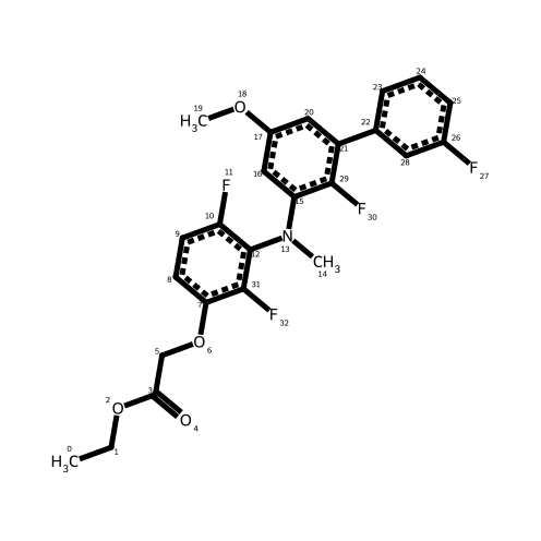 CCOC(=O)COc1ccc(F)c(N(C)c2cc(OC)cc(-c3cccc(F)c3)c2F)c1F